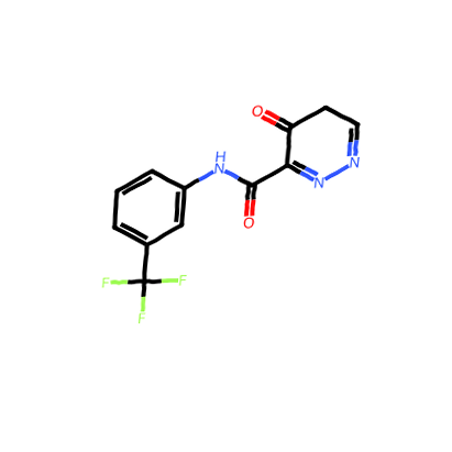 O=C1CC=NN=C1C(=O)Nc1cccc(C(F)(F)F)c1